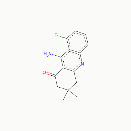 CC1(C)CC(=O)c2c(nc3cccc(F)c3c2N)C1